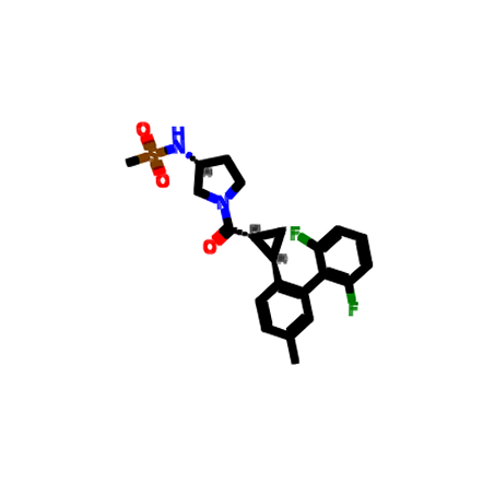 Cc1ccc([C@@H]2C[C@H]2C(=O)N2CC[C@@H](NS(C)(=O)=O)C2)c(-c2c(F)cccc2F)c1